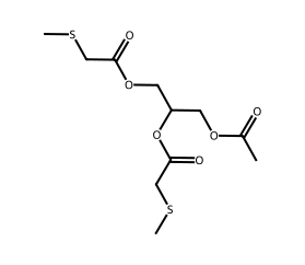 CSCC(=O)OCC(COC(C)=O)OC(=O)CSC